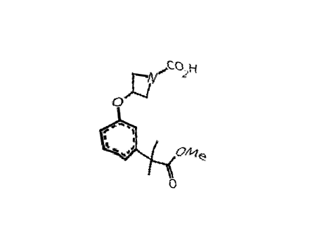 COC(=O)C(C)(C)c1cccc(OC2CN(C(=O)O)C2)c1